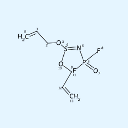 C=CCOS(=NP(=O)(F)F)OCC=C